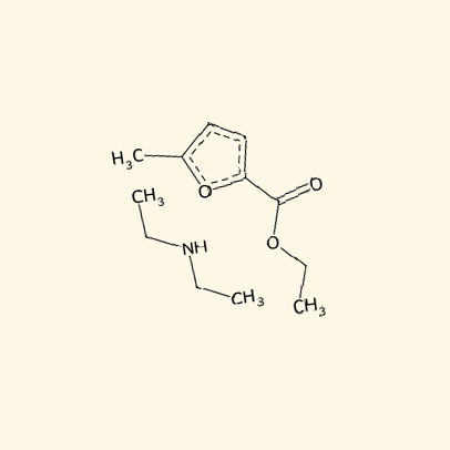 CCNCC.CCOC(=O)c1ccc(C)o1